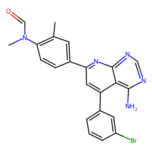 Cc1cc(-c2cc(-c3cccc(Br)c3)c3c(N)ncnc3n2)ccc1N(C)C=O